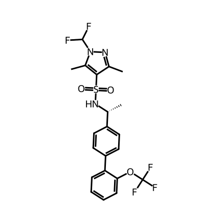 Cc1nn(C(F)F)c(C)c1S(=O)(=O)N[C@H](C)c1ccc(-c2ccccc2OC(F)(F)F)cc1